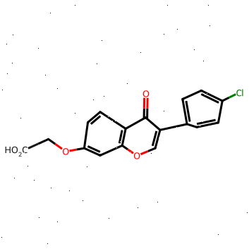 O=C(O)COc1ccc2c(=O)c(-c3ccc(Cl)cc3)coc2c1